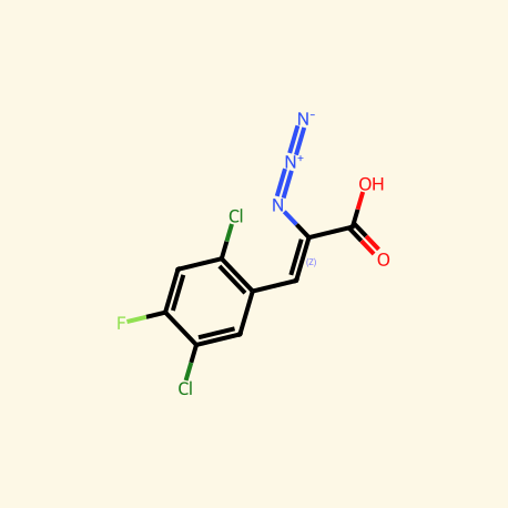 [N-]=[N+]=N/C(=C\c1cc(Cl)c(F)cc1Cl)C(=O)O